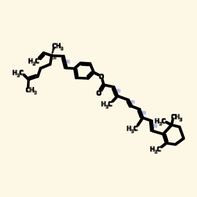 C=C[C@@](C)(/C=C/c1ccc(OC(=O)/C=C(C)/C=C/C=C(C)/C=C/C2=C(C)CCCC2(C)C)cc1)CCC=C(C)C